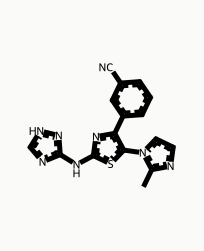 Cc1nccn1-c1sc(Nc2nc[nH]n2)nc1-c1cccc(C#N)c1